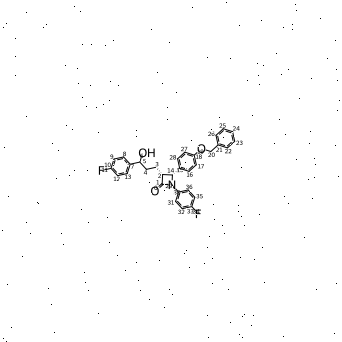 O=C1[C@H](CCC(O)c2ccc(F)cc2)[C@H](c2ccc(OCc3ccccc3)cc2)N1c1ccc(F)cc1